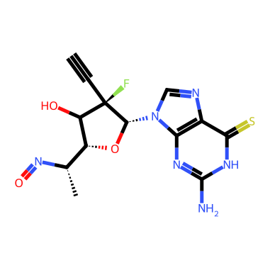 C#C[C@@]1(F)C(O)[C@@H]([C@H](C)N=O)O[C@H]1n1cnc2c(=S)[nH]c(N)nc21